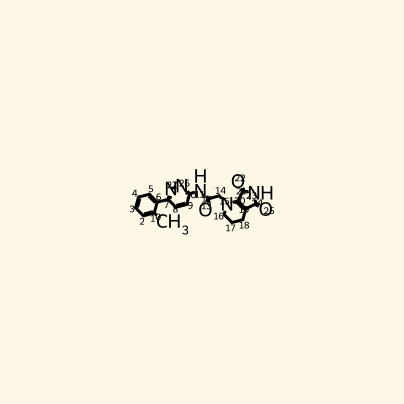 Cc1ccccc1-c1ccc(NC(=O)CN2CCCC3=C2C(=O)NC3=O)nn1